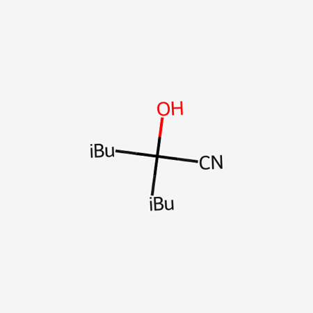 CCC(C)C(O)(C#N)C(C)CC